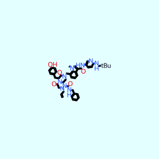 C=CCN1CC(=O)N2C(Cc3ccc(O)cc3)C(=O)N(Cc3cccc4c(C(=O)Nc5ccc(NCC(C)(C)C)nc5)cn(C)c34)CC2N1C(=O)NCc1ccccc1